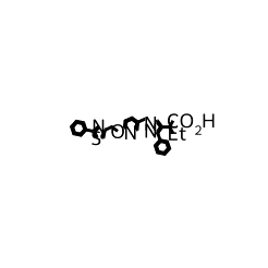 CCC(C(=O)O)c1cn(Cc2ccc(OCc3csc(-c4ccccc4)n3)nc2)nc1-c1ccccc1